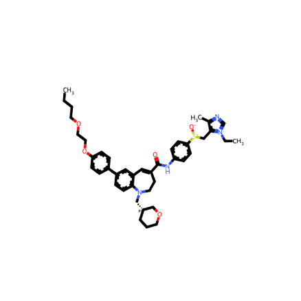 CCCCOCCOc1ccc(-c2ccc3c(c2)C=C(C(=O)Nc2ccc([S+]([O-])Cc4c(C)ncn4CC)cc2)CCN3C[C@H]2CCCOC2)cc1